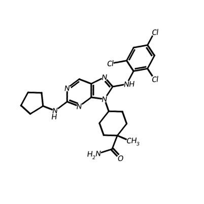 CC1(C(N)=O)CCC(n2c(Nc3c(Cl)cc(Cl)cc3Cl)nc3cnc(NC4CCCC4)nc32)CC1